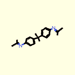 CC(C)=Nc1ccc(C(C)(C)c2ccc(N=C(C)C)cc2)cc1